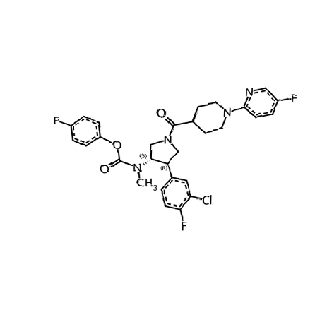 CN(C(=O)Oc1ccc(F)cc1)[C@@H]1CN(C(=O)C2CCN(c3ccc(F)cn3)CC2)C[C@H]1c1ccc(F)c(Cl)c1